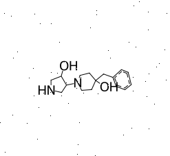 OC1CNCC1N1CCC(O)(Cc2ccccc2)CC1